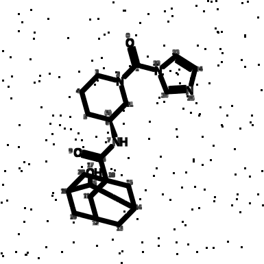 O=C(N1CCC[C@H](NC(=O)C23CC4CC(C2)C(O)C(C4)C3)C1)n1ccnc1